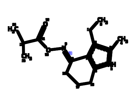 CCc1c(C)[nH]c2c1/C(=N/OC(=O)C(C)C)CCC2